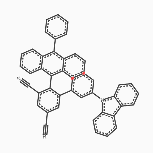 N#Cc1cc(C#N)c(-c2c3ccccc3c(-c3ccccc3)c3ccccc23)c(-c2cccc(-n3c4ccccc4c4ccccc43)c2)c1